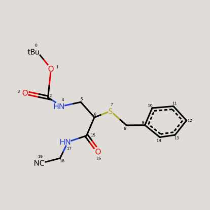 CC(C)(C)OC(=O)NCC(SCc1ccccc1)C(=O)NCC#N